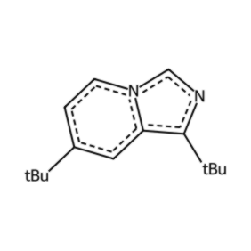 CC(C)(C)c1ccn2cnc(C(C)(C)C)c2c1